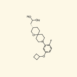 OC(O)C[C@@H]1CCC2(CCN(c3cc(OC4CCC4)ccc3F)CC2)OC1